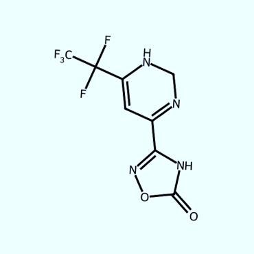 O=c1[nH]c(C2=NCNC(C(F)(F)C(F)(F)F)=C2)no1